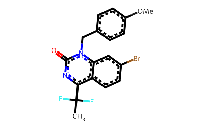 COc1ccc(Cn2c(=O)nc(C(C)(F)F)c3ccc(Br)cc32)cc1